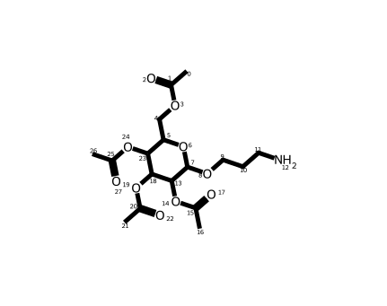 CC(=O)OCC1OC(OCCCN)C(OC(C)=O)C(OC(C)=O)C1OC(C)=O